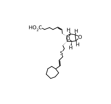 O=C(O)CCC/C=C\C[C@H]1[C@@H](CCSCC=CC2CCCCCC2)[C@@H]2O[C@H]1[C@@H]1O[C@@H]12